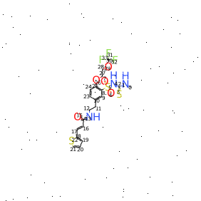 CNC(=S)NS(=O)(=O)c1cc(CCNC(=O)/C=C/c2cccs2)ccc1OCCOC(F)(F)F